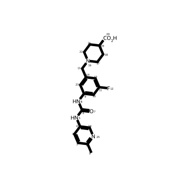 Cc1ccc(NC(=O)Nc2cc(F)cc(CN3CCC(C(=O)O)CC3)c2)cn1